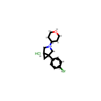 Brc1ccc(C23CC2CN(C2CCOCC2)C3)cc1.Cl